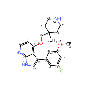 CC1(COc2ccnc3[nH]cc(-c4cc(F)cc(OC(F)(F)F)c4)c23)CCNCC1